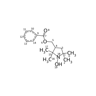 CC1(C)CC(COC(=O)c2ccccc2)C(C)(C)N1O